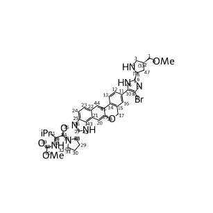 COC[C@@H]1CN[C@H](c2nc(Br)c(-c3ccc4c(c3)COc3cc5c(ccc6nc([C@@H]7CC[C@H](C)N7C(=O)[C@@H](NC(=O)OC)C(C)C)[nH]c65)cc3-4)[nH]2)C1